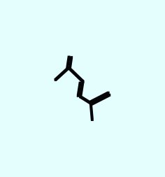 C=C(C)C=CC(=C)C